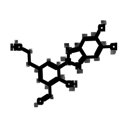 O=Cc1cc(CCO)cc(-n2nc3cc(Cl)c(Cl)cc3n2)c1O